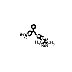 Cc1ncnc(C)c1C(=O)N1C=C2CN(CCC(c3ccccc3)C3CCN(C(=O)C(C)C)CC3)CC2C1